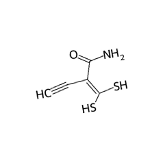 C#CC(C(N)=O)=C(S)S